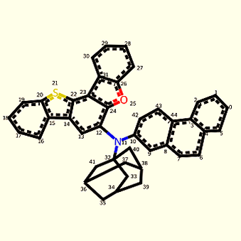 c1ccc2c(c1)ccc1cc(N(c3cc4c5ccccc5sc4c4c3oc3ccccc34)C34CC5CC(CC(C5)C3)C4)ccc12